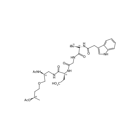 CC[C@H](C)[C@H](NC(=O)Cc1c[nH]c2ccccc12)C(=O)NCC(=O)N[C@@H](CC(=O)O)C(=O)NC[C@@H](COCC[C@@H](C)OC(C)=O)NC(C)=O